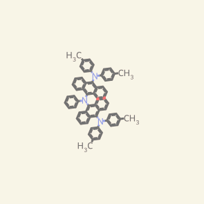 Cc1ccc(N(c2ccc(C)cc2)c2c3ccccc3c(N(c3ccccc3)c3c4ccccc4c(N(c4ccc(C)cc4)c4ccc(C)cc4)c4ccccc34)c3ccccc23)cc1